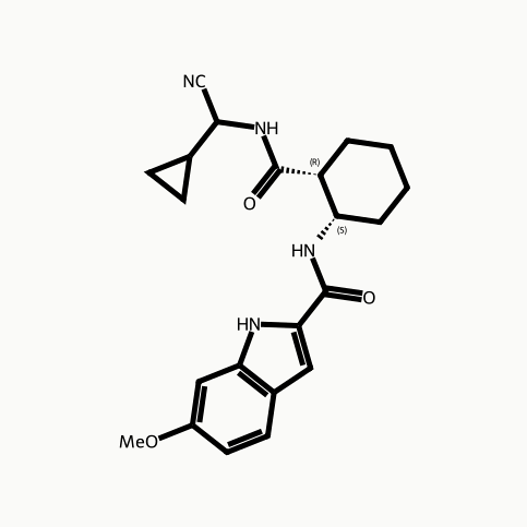 COc1ccc2cc(C(=O)N[C@H]3CCCC[C@H]3C(=O)NC(C#N)C3CC3)[nH]c2c1